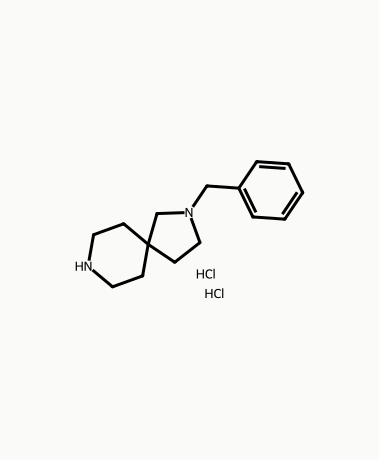 Cl.Cl.c1ccc(CN2CCC3(CCNCC3)C2)cc1